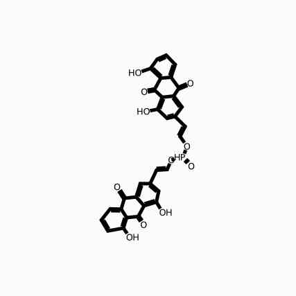 O=C1c2cccc(O)c2C(=O)c2c(O)cc(C=CO[PH](=O)OC=Cc3cc(O)c4c(c3)C(=O)c3cccc(O)c3C4=O)cc21